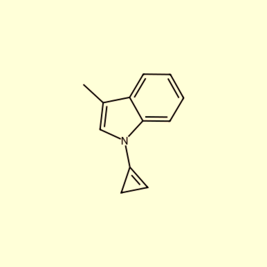 Cc1cn(C2=CC2)c2ccccc12